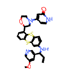 CCC(Nc1ccc2c(c1)Sc1cccc(C3CN(c4cc[nH]c(=O)c4)CCO3)c1S2)c1cncc(OC)c1